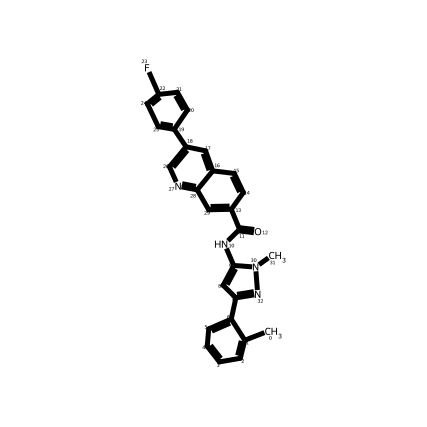 Cc1ccccc1-c1cc(NC(=O)c2ccc3cc(-c4ccc(F)cc4)cnc3c2)n(C)n1